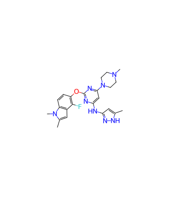 Cc1cc(Nc2cc(N3CCN(C)CC3)nc(Oc3ccc4c(cc(C)n4C)c3F)n2)n[nH]1